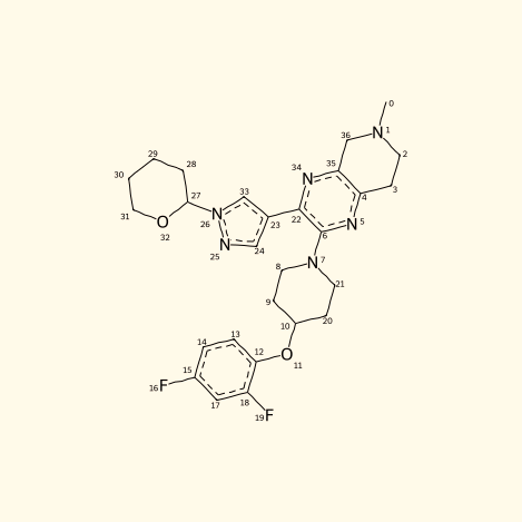 CN1CCc2nc(N3CCC(Oc4ccc(F)cc4F)CC3)c(-c3cnn(C4CCCCO4)c3)nc2C1